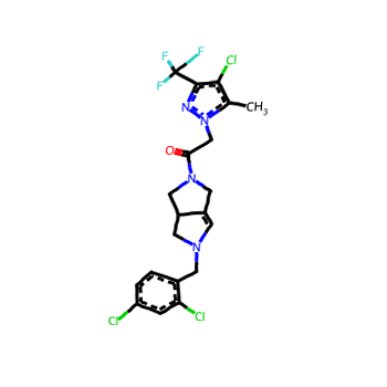 Cc1c(Cl)c(C(F)(F)F)nn1CC(=O)N1CC2=CN(Cc3ccc(Cl)cc3Cl)CC2C1